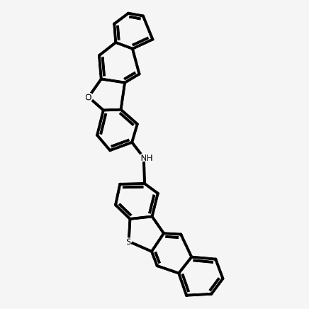 c1ccc2cc3c(cc2c1)oc1ccc(Nc2ccc4sc5cc6ccccc6cc5c4c2)cc13